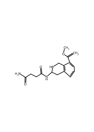 C=C(OC)c1cccc2c1CBC(NC(=O)CCC(N)=O)C2